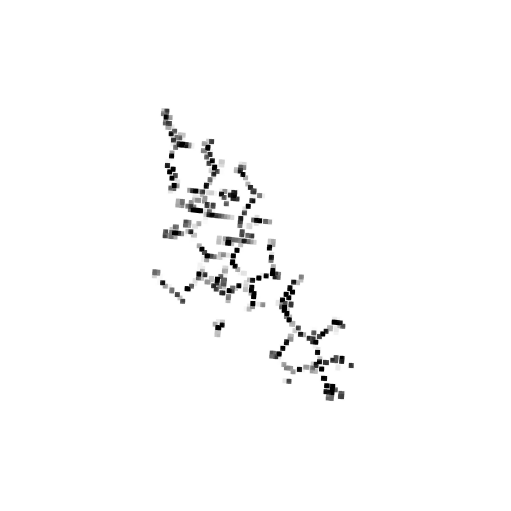 CC(=O)N1[C@H](C(=O)O[C@]2(C(=O)OCCl)CC[C@H]3[C@@H]4CCC5=CC(=O)C=C[C@]5(C)[C@H]4[C@@H](O)C[C@@]32C)CSC1(C)C